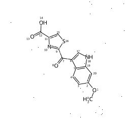 COc1ccc2c(C(=O)c3nc(C(=O)O)cs3)c[nH]c2c1